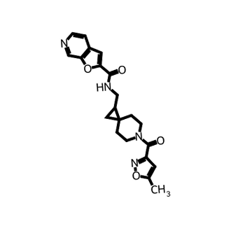 Cc1cc(C(=O)N2CCC3(CC2)CC3CNC(=O)c2cc3ccncc3o2)no1